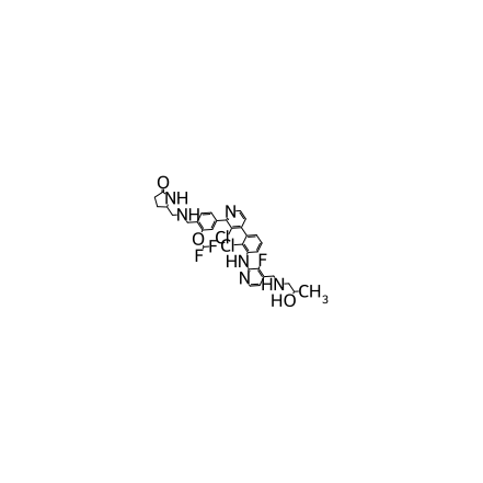 CC(O)CNCc1ccnc(Nc2cccc(-c3ccnc(-c4ccc(CNCC5CCC(=O)N5)c(OC(F)F)c4)c3Cl)c2Cl)c1F